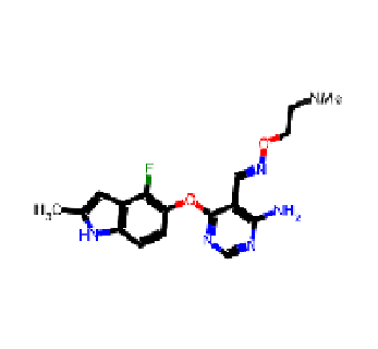 CNCCO/N=C/c1c(N)ncnc1Oc1ccc2[nH]c(C)cc2c1F